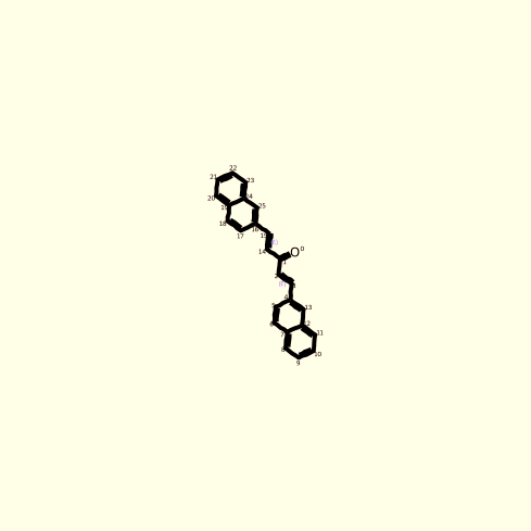 O=C(/C=C/c1ccc2ccccc2c1)/C=C/c1ccc2ccccc2c1